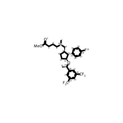 COC(=O)CCCN(C)C[C@@H]1CC[C@H](O[C@H](C)c2cc(C(F)(F)F)cc(C(F)(F)F)c2)[C@H]1c1ccc(F)cc1